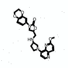 COc1ccc2nccc(N3CCC(NCC4CN(c5ccc6c(c5)OCCO6)C(=O)O4)C3)c2n1